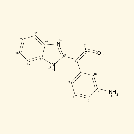 Nc1cccc(C(=S=O)c2nc3ccccc3[nH]2)c1